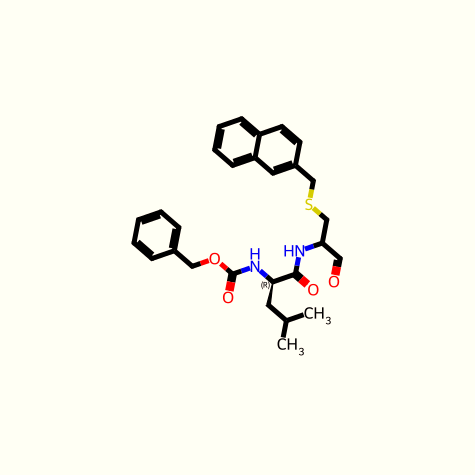 CC(C)C[C@@H](NC(=O)OCc1ccccc1)C(=O)NC(C=O)CSCc1ccc2ccccc2c1